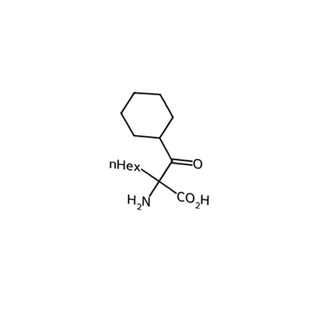 CCCCCCC(N)(C(=O)O)C(=O)C1CCCCC1